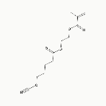 C=C(C)C(=O)OCCOC(=O)CCCCOC#N